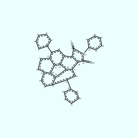 O=c1c2c3cc(-c4ccccc4)c4ccc5ccc6c(-c7ccccc7)cc(c2c(=O)n1-c1ccccc1)c1c6c5c4c31